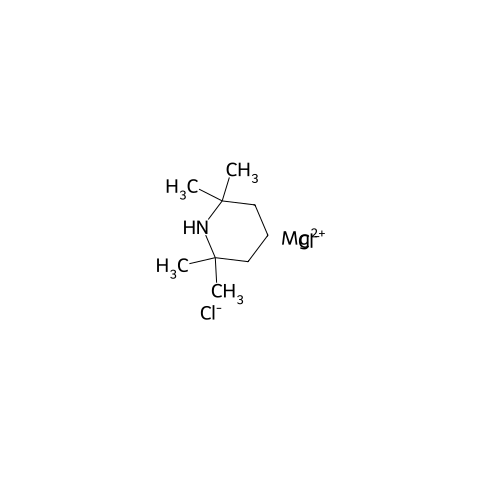 CC1(C)CCCC(C)(C)N1.[Cl-].[Cl-].[Mg+2]